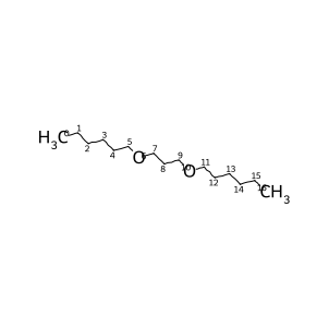 CCCCCCOCCCOCCCCCC